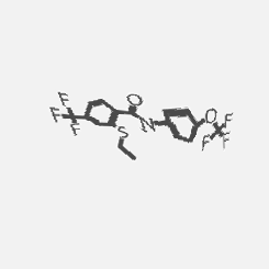 CCSc1cc(C(F)(F)F)ccc1C(=O)N(C)c1ccc(OC(F)(F)F)cc1